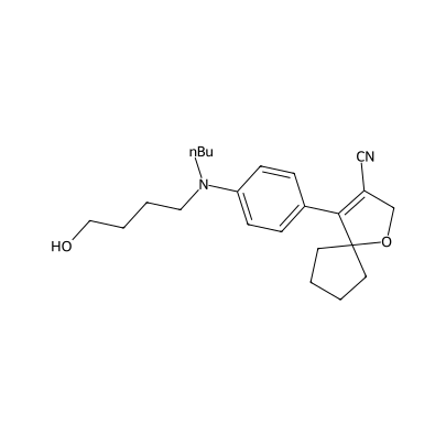 CCCCN(CCCCO)c1ccc(C2=C(C#N)COC23CCCC3)cc1